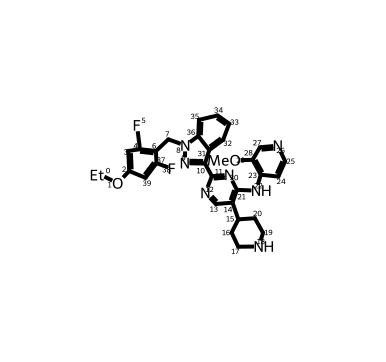 CCOc1cc(F)c(Cn2nc(-c3ncc(C4CCNCC4)c(Nc4ccncc4OC)n3)c3ccccc32)c(F)c1